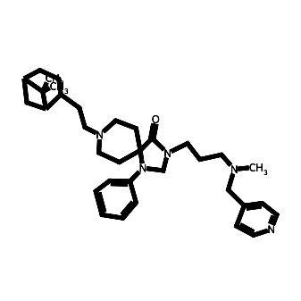 CN(CCCN1CN(c2ccccc2)C2(CCN(CCC3CCC4CC3C4(C)C)CC2)C1=O)Cc1ccncc1